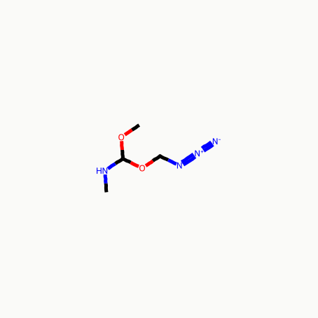 CNC(OC)OCN=[N+]=[N-]